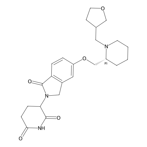 O=C1CCC(N2Cc3cc(OC[C@H]4CCCCN4CC4CCOC4)ccc3C2=O)C(=O)N1